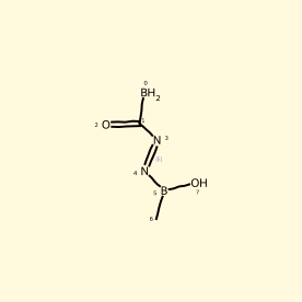 BC(=O)/N=N/B(C)O